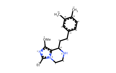 CCc1nc(OC)c2n1CCNC2CCc1ccc(C)c(C)c1